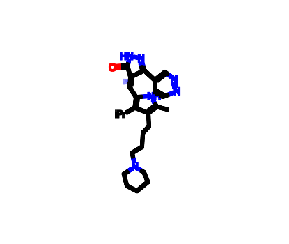 Cc1[nH]c(/C=C2/C(=O)NN=C2c2ccnnc2)c(C(C)C)c1CCCCN1CCCCC1